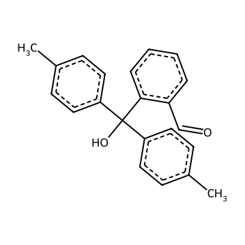 Cc1ccc(C(O)(c2ccc(C)cc2)c2ccccc2C=O)cc1